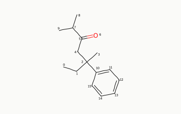 CCC(C)(CC(=O)C(C)C)c1ccccc1